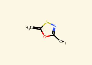 C=C1OC(C)=NS1